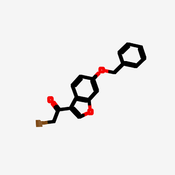 O=C(CBr)c1coc2cc(OCc3ccccc3)ccc12